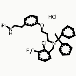 CC(C)NCCc1cccc(OCCCN(Cc2cccc(C(F)(F)F)c2Cl)C(C)(c2ccccc2)c2ccccc2)c1.Cl